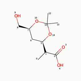 CC(C(=O)O)[C@H]1C[C@@H](CO)OC(C)(C)O1